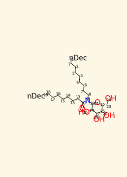 CCCCCCCCCCCCCCCCCCN(C(=O)CCCCCCCCCCCCCCCCC)C1O[C@H](CO)[C@@H](O)[C@H](O)[C@H]1O